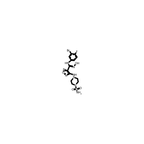 NS(=O)(=O)N1CCN(Nc2nonc2C(=NO)Nc2ccc(F)c(Br)c2)CC1